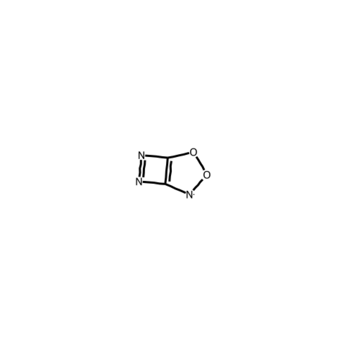 [N]1OOC2=C1N=N2